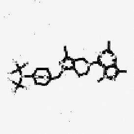 [2H]C([2H])([2H])N(C([2H])([2H])[2H])C12CCC(Cn3nc(C)c4c3CCN(c3nc(C)nc5c(C)nn(C)c35)C4)(CC1)CC2